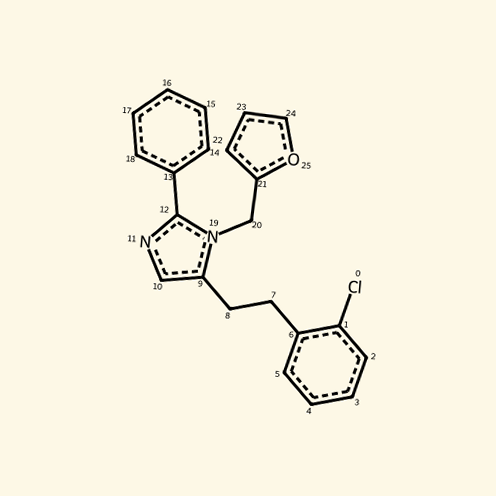 Clc1ccccc1CCc1cnc(-c2ccccc2)n1Cc1ccco1